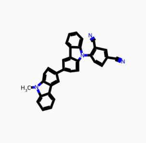 Cn1c2ccccc2c2cc(-c3ccc4c(c3)c3ccccc3n4-c3ccc(C#N)cc3C#N)ccc21